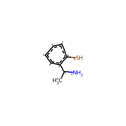 CC(N)c1ccccc1S